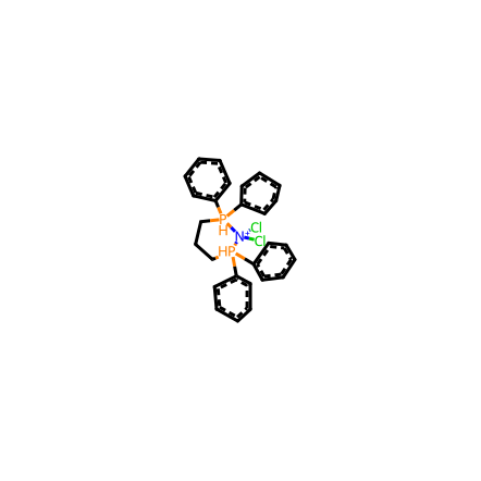 Cl[N+]1(Cl)[PH](c2ccccc2)(c2ccccc2)CCC[PH]1(c1ccccc1)c1ccccc1